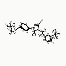 CC1=NN(c2ccc(B3OC(C)(C)C(C)(C)O3)cc2)C(=O)C1C(=O)Nc1cccc(C(C)(F)F)c1